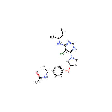 CCC(C)Nc1ncnc(N2CC[C@@H](Oc3ccc([C@H](C)NC(C)=O)cc3)C2)c1Cl